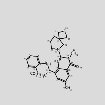 Cc1cc([C@H](C)Nc2ccccc2C(=O)O)c2nc(N3CCCC4(COC4)C3)n(C)c(=O)c2c1